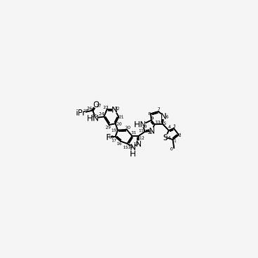 Cc1ccc(-c2nccc3[nH]c(-c4n[nH]c5cc(F)c(-c6cncc(NC(=O)C(C)C)c6)cc45)nc23)s1